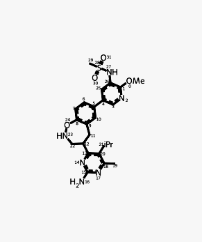 COc1ncc(-c2ccc3c(c2)CC(c2nc(N)nc(C)c2C(C)C)CNO3)cc1NS(C)(=O)=O